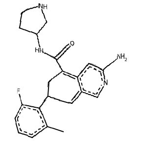 Cc1cccc(F)c1C1C=c2cnc(N)cc2=C(C(=O)NC2CCNC2)C1